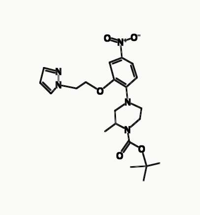 CC1CN(c2ccc([N+](=O)[O-])cc2OCCn2cccn2)CCN1C(=O)OC(C)(C)C